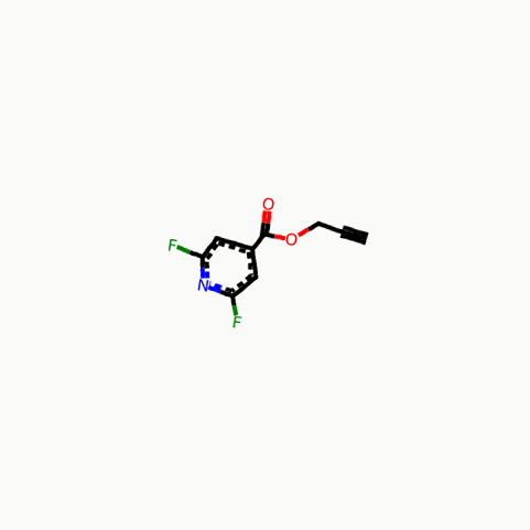 C#CCOC(=O)c1cc(F)nc(F)c1